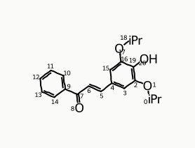 CC(C)Oc1cc(C=CC(=O)c2ccccc2)cc(OC(C)C)c1O